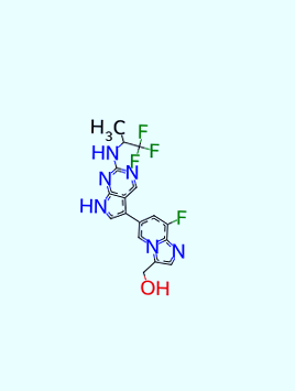 CC(Nc1ncc2c(-c3cc(F)c4ncc(CO)n4c3)c[nH]c2n1)C(F)(F)F